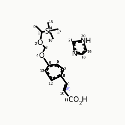 CC(OCOc1ccc(/C=C/C(=O)O)cc1)[Si](C)(C)C.c1c[nH]cn1